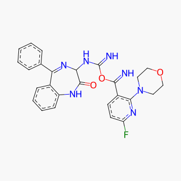 N=C(NC1N=C(c2ccccc2)c2ccccc2NC1=O)OC(=N)c1ccc(F)nc1N1CCOCC1